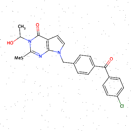 CSc1nc2c(ccn2Cc2ccc(C(=O)c3ccc(Cl)cc3)cc2)c(=O)n1C(C)O